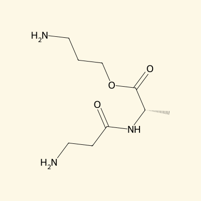 C[C@H](NC(=O)CCN)C(=O)OCCCN